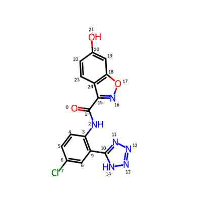 O=C(Nc1ccc(Cl)cc1-c1nnn[nH]1)c1noc2cc(O)ccc12